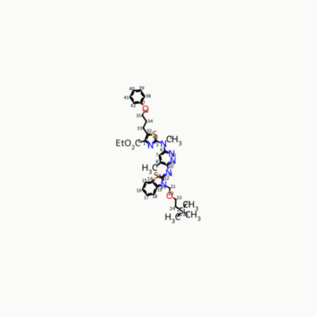 CCOC(=O)c1nc(N(C)c2cc(C)c(/N=c3\sc4ccccc4n3COCC[Si](C)(C)C)nn2)sc1CCCOc1ccccc1